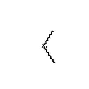 CCCCCCCCC[CH2][Zn][CH2]CCCCCCCCC